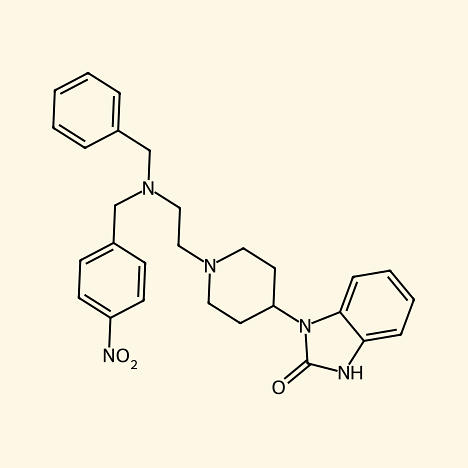 O=c1[nH]c2ccccc2n1C1CCN(CCN(Cc2ccccc2)Cc2ccc([N+](=O)[O-])cc2)CC1